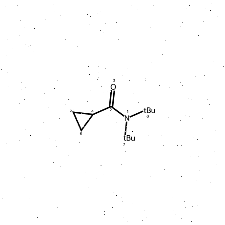 CC(C)(C)N(C(=O)C1CC1)C(C)(C)C